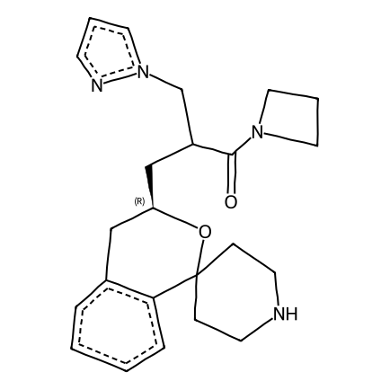 O=C(C(C[C@@H]1Cc2ccccc2C2(CCNCC2)O1)Cn1cccn1)N1CCC1